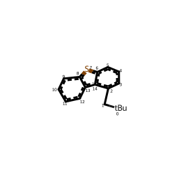 CC(C)(C)Cc1cccc2sc3ccccc3c12